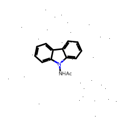 CC(=O)Nn1c2ccccc2c2ccccc21